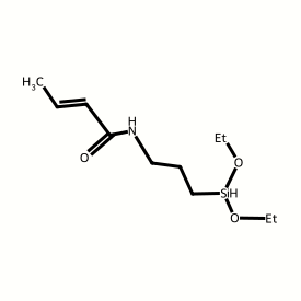 CC=CC(=O)NCCC[SiH](OCC)OCC